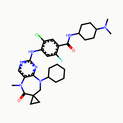 CN1C(=O)C2(CC2)CN(C2CCCCC2)c2nc(Nc3cc(F)c(C(=O)NC4CCC(N(C)C)CC4)cc3Cl)ncc21